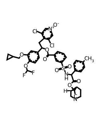 Cc1ccc(C(NS(=O)(=O)c2cccc(C(=O)OC(Cc3c(Cl)c[n+]([O-])cc3Cl)c3ccc(OC(F)F)c(OCC4CC4)c3)c2)C(=O)O[C@H]2CN3CCC2CC3)cc1